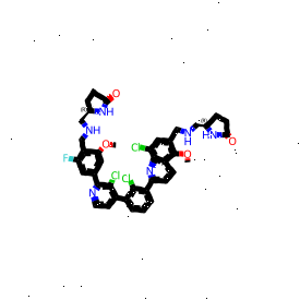 COc1cc(-c2nccc(-c3cccc(-c4ccc5c(OC)c(CNC[C@H]6CCC(=O)N6)cc(Cl)c5n4)c3Cl)c2Cl)cc(F)c1CNC[C@H]1CCC(=O)N1